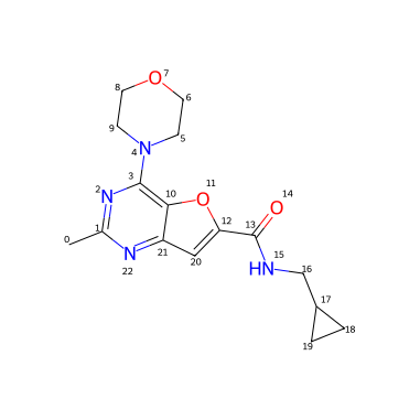 Cc1nc(N2CCOCC2)c2oc(C(=O)NCC3CC3)cc2n1